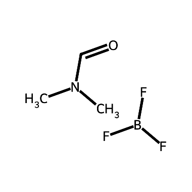 CN(C)C=O.FB(F)F